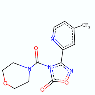 O=C(N1CCOCC1)n1c(-c2cc(C(F)(F)F)ccn2)noc1=O